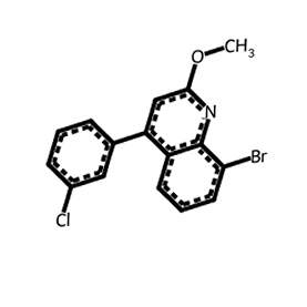 COc1cc(-c2cccc(Cl)c2)c2cccc(Br)c2n1